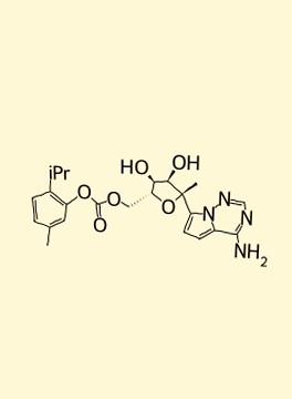 Cc1ccc(C(C)C)c(OC(=O)OC[C@H]2O[C@@](C)(c3ccc4c(N)ncnn34)[C@H](O)[C@@H]2O)c1